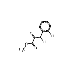 COC(=O)C(=O)C(Cl)c1ccccc1Cl